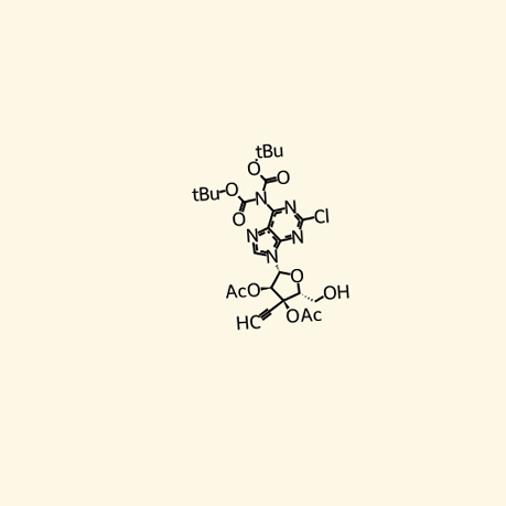 C#C[C@@]1(OC(C)=O)[C@@H](CO)O[C@@H](n2cnc3c(N(C(=O)OC(C)(C)C)C(=O)OC(C)(C)C)nc(Cl)nc32)[C@@H]1OC(C)=O